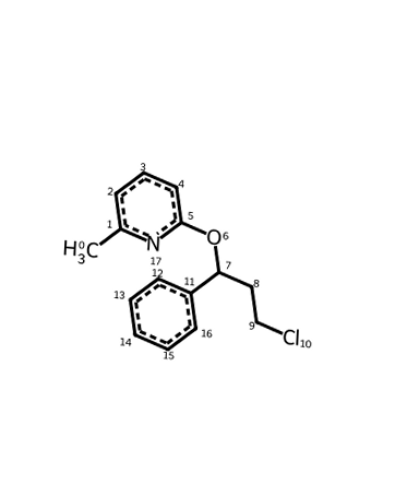 Cc1cccc(OC(CCCl)c2ccccc2)n1